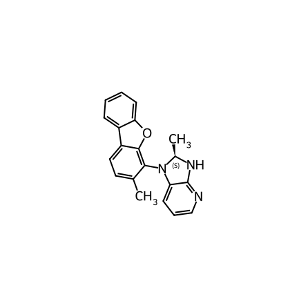 Cc1ccc2c(oc3ccccc32)c1N1c2cccnc2N[C@@H]1C